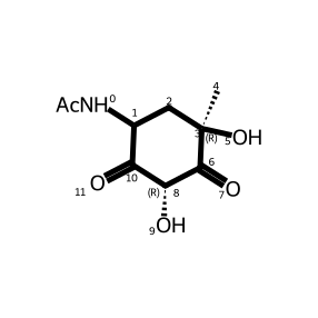 CC(=O)NC1C[C@@](C)(O)C(=O)[C@H](O)C1=O